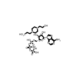 Nc1ncnc2c1ncn2[C@@H]1O[C@H](COP(=O)(O)OP(=O)(O)OP(=O)(O)O)[C@@H](O)[C@H]1O.O=S(=O)(O)CCN1CCN(CCO)CC1